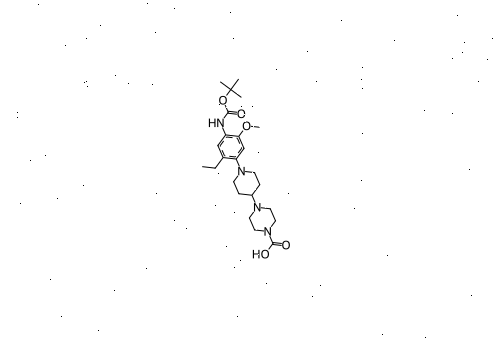 CCc1cc(NC(=O)OC(C)(C)C)c(OC)cc1N1CCC(N2CCN(C(=O)O)CC2)CC1